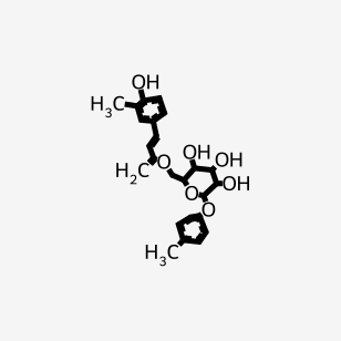 C=C(/C=C/c1ccc(O)c(C)c1)OCC1OC(Oc2ccc(C)cc2)C(O)C(O)C1O